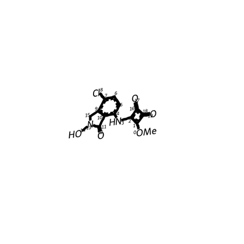 COc1c(Nc2ccc(Cl)c3c2C(=O)N(O)C3)c(=O)c1=O